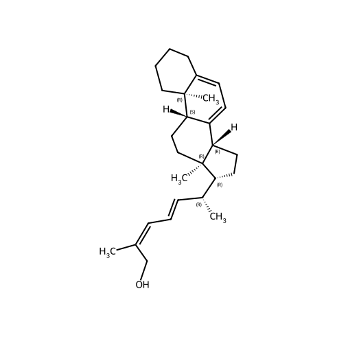 CC(=CC=C[C@@H](C)[C@H]1CC[C@H]2C3=CC=C4CCCC[C@]4(C)[C@H]3CC[C@]12C)CO